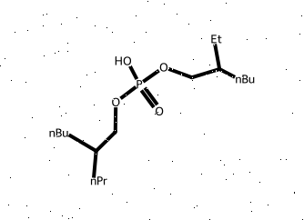 CCCCC(CC)COP(=O)(O)OCC(CCC)CCCC